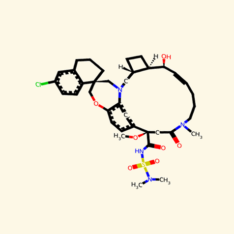 CO[C@]1(C(=O)NS(=O)(=O)N(C)C)CC(=O)N(C)CCCC=C[C@H](O)[C@@H]2CC[C@H]2CN2C[C@@]3(CCCc4cc(Cl)ccc43)COc3ccc1cc32